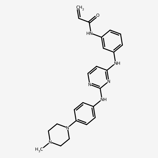 C=CC(=O)Nc1cccc(Nc2ccnc(Nc3ccc(N4CCN(C)CC4)cc3)n2)c1